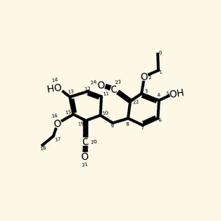 CCOC1=C(O)C=CC(CC2C=CC(O)=C(OCC)C2=C=O)C1=C=O